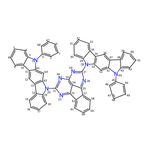 c1ccc(-n2c3ccccc3c3cc4c5ccccc5n(-c5nc6c7c(nc(-n8c9ccccc9c9cc%10c%11ccccc%11n(-c%11ccccc%11)c%10cc98)nc7n5)-c5ccccc5-6)c4cc32)cc1